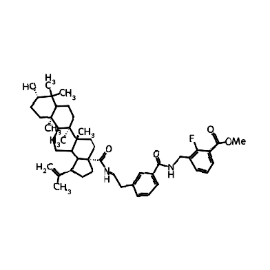 C=C(C)[C@@H]1CC[C@]2(C(=O)NCCc3cccc(C(=O)NCc4cccc(C(=O)OC)c4F)c3)CC[C@]3(C)C(CCC4[C@@]5(C)CC[C@H](O)C(C)(C)C5CC[C@]43C)C12